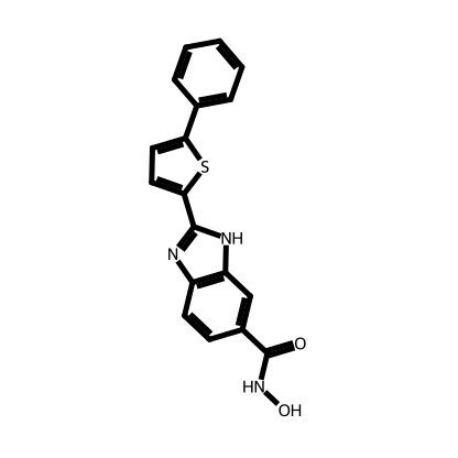 O=C(NO)c1ccc2nc(-c3ccc(-c4ccccc4)s3)[nH]c2c1